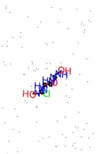 Cc1c(NC(=O)c2ccc(CNCCO)cn2)cccc1-c1cccc(-c2nc3c(Cl)cc(CNCCO)cn3n2)c1C